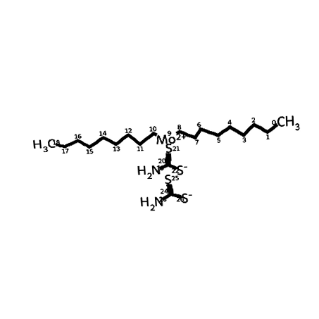 CCCCCCCC[CH2][Mo+2][CH2]CCCCCCCC.NC(=S)[S-].NC(=S)[S-]